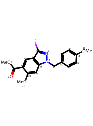 COC(=O)c1cc2c(I)nn(Cc3ccc(OC)cc3)c2cc1OC